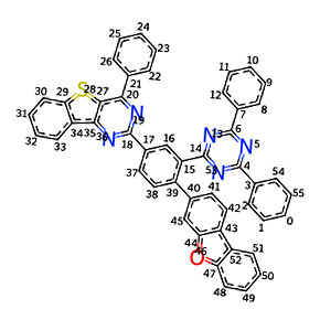 c1ccc(-c2nc(-c3ccccc3)nc(-c3cc(-c4nc(-c5ccccc5)c5sc6ccccc6c5n4)ccc3-c3ccc4c(c3)oc3ccccc34)n2)cc1